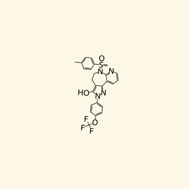 C=S(=O)(c1ccc(C)cc1)N1CCc2c(nn(-c3ccc(OC(F)(F)F)cc3)c2O)-c2cccnc21